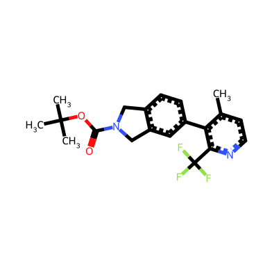 Cc1ccnc(C(F)(F)F)c1-c1ccc2c(c1)CN(C(=O)OC(C)(C)C)C2